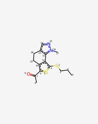 CCCSc1sc(C(C)=O)c2c1-c1c(cnn1C)CC2